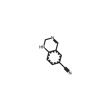 N#Cc1ccc2c(c1)C=NCN2